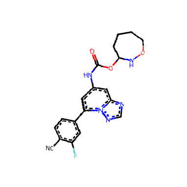 N#Cc1ccc(-c2cc(NC(=O)OC3CCCCON3)cc3ncnn23)cc1F